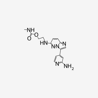 CNC(=O)OCCNc1ccc2ncc(-c3ccnc(N)c3)n2n1